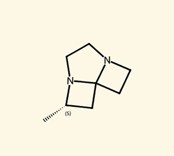 C[C@H]1CC23CCN2CCN13